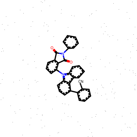 N#Cc1ccccc1-c1cccc2c1c1ccccc1n2-c1cccc2c1C(=O)N(c1ccccc1)C2=O